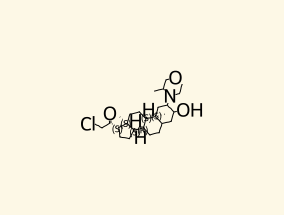 CC1COCCN1C1C[C@@]2(C)C(CC[C@H]3[C@@H]4CC[C@H](C(=O)CCl)[C@@]4(C)CC[C@@H]32)CC1O